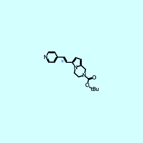 CC(C)(C)OC(=O)N1CCn2c(/C=C/c3ccncc3)ccc2C1